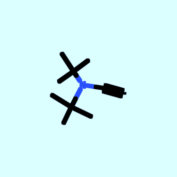 [C]#CN(C(C)(C)C)C(C)(C)C